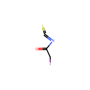 O=C(CI)N=C=S